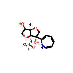 O=[N+]([O-])[O-].O[C@@H]1CO[C@H]2[C@@H]1OC[C@]2(O)C1=CC=CC=CN1.[H+]